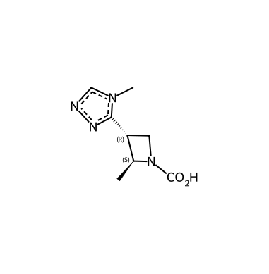 C[C@H]1[C@H](c2nncn2C)CN1C(=O)O